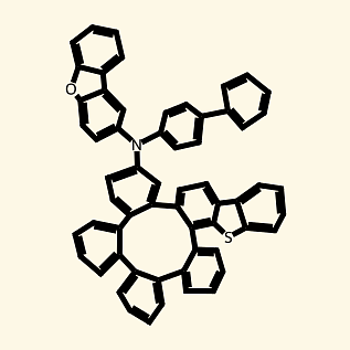 c1ccc(-c2ccc(N(c3ccc4oc5ccccc5c4c3)c3ccc4c5ccccc5c5ccccc5c5ccccc5c5c(ccc6c7ccccc7sc65)c4c3)cc2)cc1